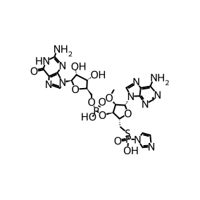 CO[C@@H]1[C@H](OP(=O)(O)OC[C@H]2O[C@@H](n3cnc4c(=O)[nH]c(N)nc43)[C@H](O)[C@@H]2O)[C@@H](CSP(=O)(O)n2ccnc2)O[C@H]1n1cnc2c(N)ncnc21